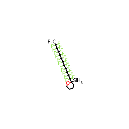 FC(F)(F)C(F)(F)C(F)(F)C(F)(F)C(F)(F)C(F)(F)C(F)(F)C(F)(F)C(F)(F)C(F)(F)C(F)(F)C(F)(F)C1([SiH3])CCCCO1